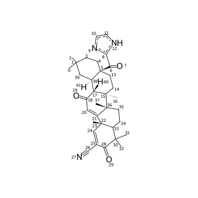 CC1(C)CC[C@]2(C(=O)c3ncc[nH]3)CC[C@]3(C)[C@H](C(=O)C=C4[C@@]5(C)C=C(C#N)C(=O)C(C)(C)C5CC[C@]43C)[C@H]2C1